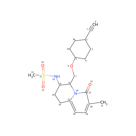 C#CC1CCC(OCC2C(NS(C)(=O)=O)CCc3ccc(C)c(=O)n32)CC1